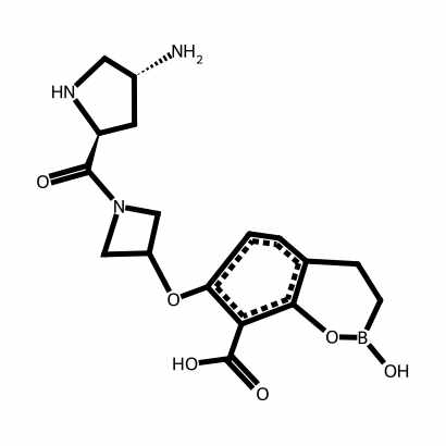 N[C@H]1CN[C@H](C(=O)N2CC(Oc3ccc4c(c3C(=O)O)OB(O)CC4)C2)C1